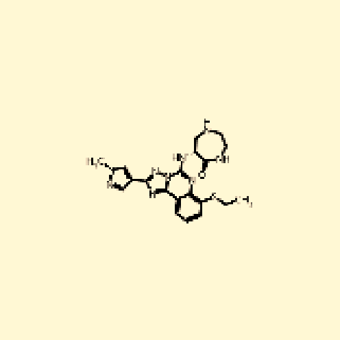 CCSc1cccc2c1nc(N[C@@H]1CNCCNC1=O)n1nc(-c3cnn(C)c3)nc21